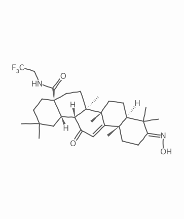 CC1(C)CC[C@]2(C(=O)NCC(F)(F)F)CC[C@]3(C)[C@H](C(=O)C=C4[C@@]5(C)CCC(=NO)C(C)(C)[C@@H]5CC[C@]43C)[C@@H]2C1